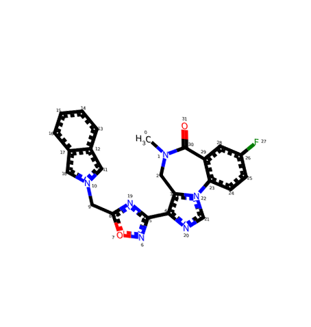 CN1Cc2c(-c3noc(Cn4cc5ccccc5c4)n3)ncn2-c2ccc(F)cc2C1=O